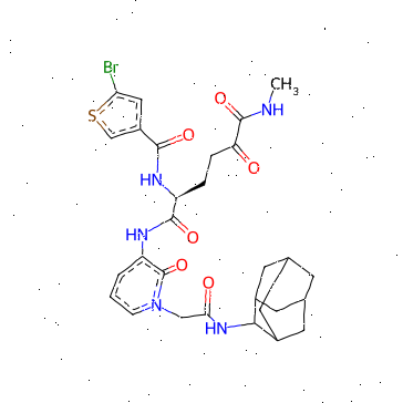 CNC(=O)C(=O)CC[C@H](NC(=O)c1csc(Br)c1)C(=O)Nc1cccn(CC(=O)NC2C3CC4CC(C3)CC2C4)c1=O